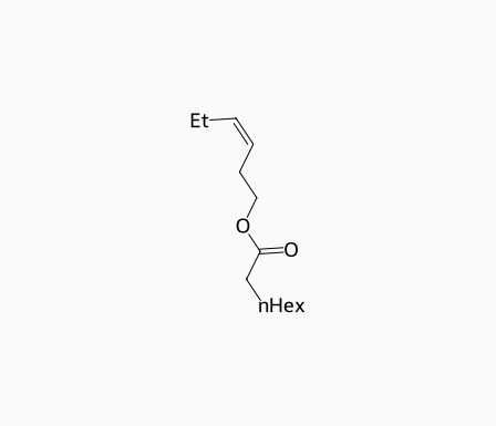 CC/C=C\CCOC(=O)CCCCCCC